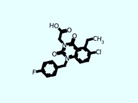 CCc1c(Cl)ccc2c1c(=O)n(CC(=O)O)c(=O)n2Cc1ccc(F)cc1